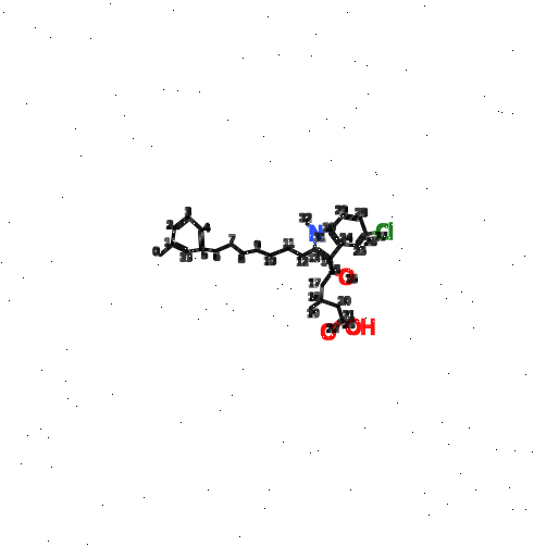 Cc1cccc(CCCCCCCc2c(C(=O)CC(C)CC(=O)O)c3cc(Cl)ccc3n2C)c1